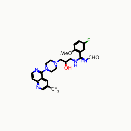 COc1ccc(F)cc1/C(=N\C=O)NCC(O)CN1CCN(c2nccc3ncc(C(F)(F)F)cc23)CC1